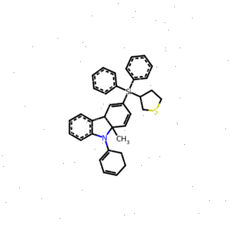 CC12C=CC([Si](c3ccccc3)(c3ccccc3)C3CCSC3)=CC1c1ccccc1N2C1=CC=CCC1